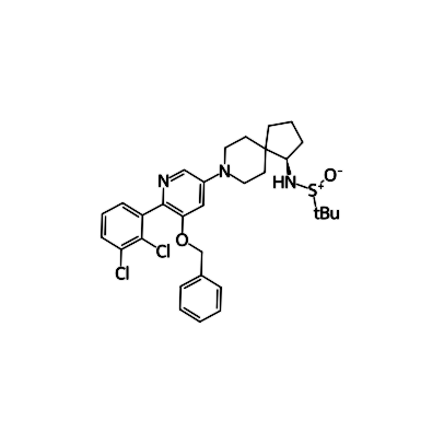 CC(C)(C)[S+]([O-])N[C@@H]1CCCC12CCN(c1cnc(-c3cccc(Cl)c3Cl)c(OCc3ccccc3)c1)CC2